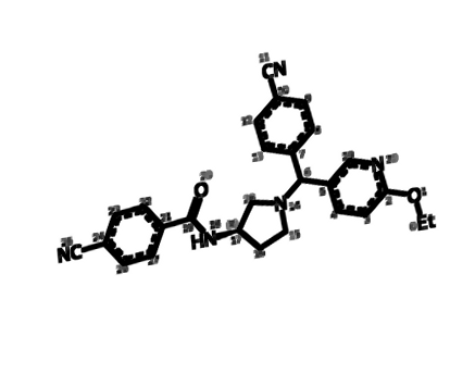 CCOc1ccc(C(c2ccc(C#N)cc2)N2CC[C@@H](NC(=O)c3ccc(C#N)cc3)C2)cn1